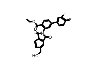 CCOC(=O)c1ccc(-c2ccc(F)c(F)c2)cc1N1C(=O)c2ccc(CO)cc2C1=O